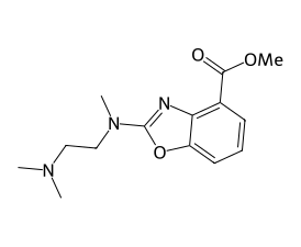 COC(=O)c1cccc2oc(N(C)CCN(C)C)nc12